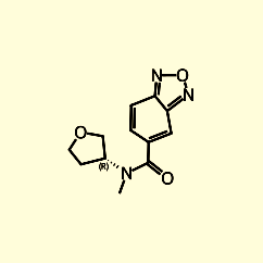 CN(C(=O)c1ccc2nonc2c1)[C@@H]1CCOC1